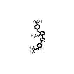 CCc1c(CN2CCC(C(=O)O)CC2)cccc1-c1cnc(-c2ccc(OC(C)C)c(Cl)c2)s1